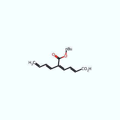 C=CC=CC(=CC=CC(=O)O)C(=O)OCCCC